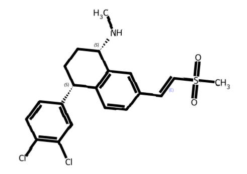 CN[C@H]1CC[C@@H](c2ccc(Cl)c(Cl)c2)c2ccc(/C=C/S(C)(=O)=O)cc21